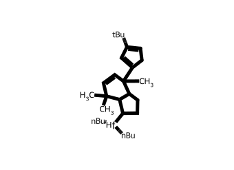 CCC[CH2][Hf]([CH2]CCC)[CH]1CCC2C1C(C)(C)C=CC2(C)C1=CC(C(C)(C)C)=CC1